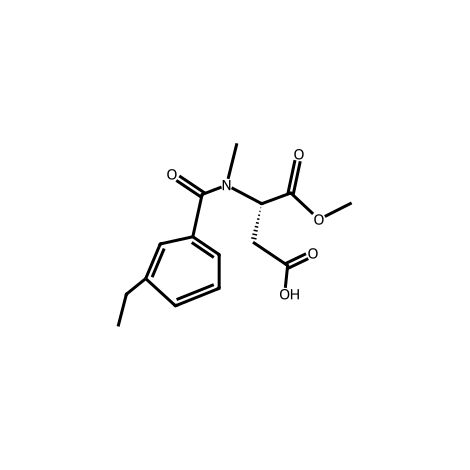 CCc1cccc(C(=O)N(C)[C@@H](CC(=O)O)C(=O)OC)c1